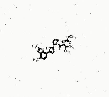 COC(=O)N[C@H](C(=O)N1CCC[C@H]1c1ncc(-c2ccc(C)c3cc(C)oc23)[nH]1)C(C)C